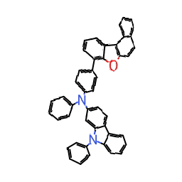 c1ccc(N(c2ccc(-c3cccc4c3oc3ccc5ccccc5c34)cc2)c2ccc3c4ccccc4n(-c4ccccc4)c3c2)cc1